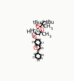 CC(CC(C)(C)OC(=O)C(C)(CC(C)(C)C)C(C)(C)C)Oc1ccc2cc(-c3ccccc3)oc2c1